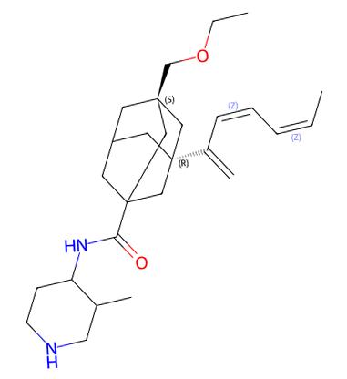 C=C(/C=C\C=C/C)[C@]12CC3CC(C(=O)NC4CCNCC4C)(C[C@](COCC)(C3)C1)C2